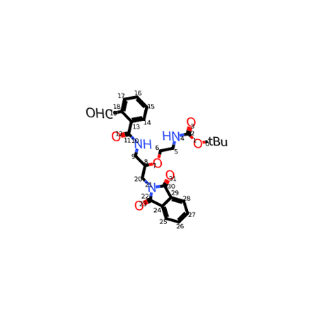 CC(C)(C)OC(=O)NCCOC(CNC(=O)c1ccccc1C=O)CN1C(=O)c2ccccc2C1=O